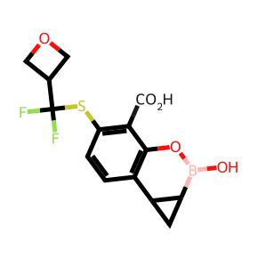 O=C(O)c1c(SC(F)(F)C2COC2)ccc2c1OB(O)C1CC21